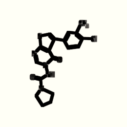 O=C(Nn1cnc2scc(-c3ccc(Cl)c(C(F)(F)F)c3)c2c1=O)N1CCCC1